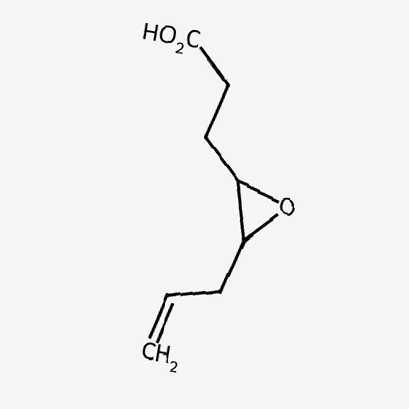 C=CCC1OC1CCC(=O)O